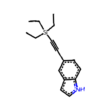 CC[Si](C#Cc1ccc2[nH]ccc2c1)(CC)CC